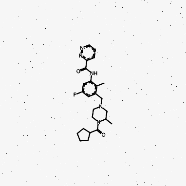 Cc1c(CN2CCN(C(=O)C3CCCC3)C(C)C2)cc(F)cc1NC(=O)c1cccnn1